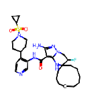 Nc1nn2c(c1C(=O)Nc1cnccc1C1CCN(S(=O)(=O)C3CC3)CC1)NC1(CCCCCCCCC1)C(F)C2